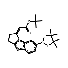 CC(C)(C)OC(=O)C=C1CCc2cc3ccc(B4OC(C)(C)C(C)(C)O4)cc3n21